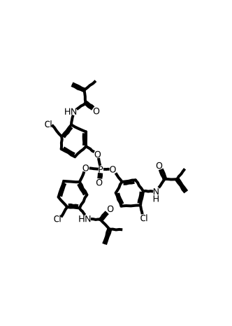 C=C(C)C(=O)Nc1cc(OP(=O)(Oc2ccc(Cl)c(NC(=O)C(=C)C)c2)Oc2ccc(Cl)c(NC(=O)C(=C)C)c2)ccc1Cl